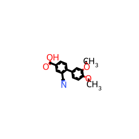 COc1ccc(-c2ccc(C(=O)O)cc2C#N)cc1OC